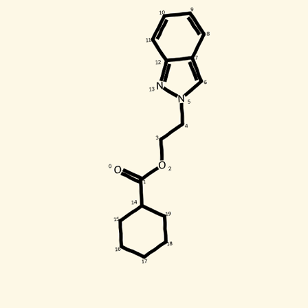 O=C(OCCn1cc2ccccc2n1)C1CCCCC1